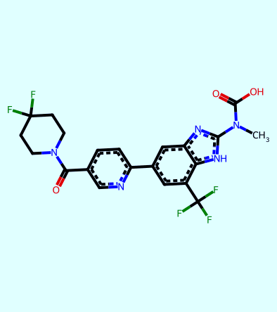 CN(C(=O)O)c1nc2cc(-c3ccc(C(=O)N4CCC(F)(F)CC4)cn3)cc(C(F)(F)F)c2[nH]1